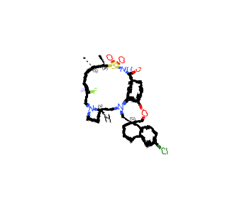 C[C@@H]1[C@@H](C)C/C=C(\F)CN2CC[C@H]2CN2C[C@@]3(CCCc4cc(Cl)ccc43)COc3ccc(cc32)C(=O)NS1(=O)=O